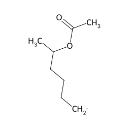 [CH2]CCCC(C)OC(C)=O